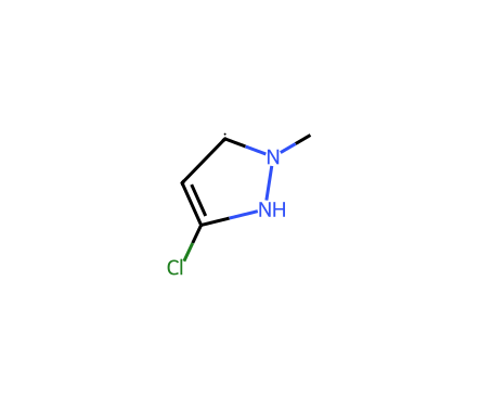 CN1[CH]C=C(Cl)N1